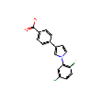 O=C(O)c1ccc(-c2ccn(-c3cc(F)ccc3F)c2)cc1